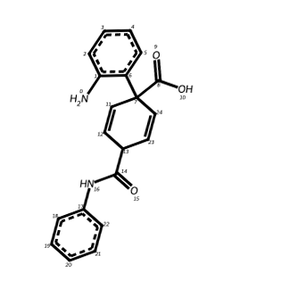 Nc1ccccc1C1(C(=O)O)C=CC(C(=O)Nc2ccccc2)C=C1